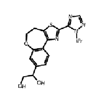 CC(C)n1ncnc1-c1nc2c(s1)CCOc1cc(C(O)CO)ccc1-2